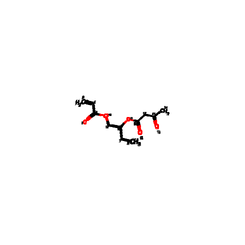 C=CC(=O)OCC(CC)OC(=O)CC(C)=O